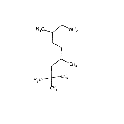 CC(CN)CCC(C)CC(C)(C)C